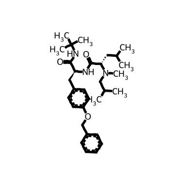 CC(C)C[C@@H](C(=O)N[C@@H](Cc1ccc(OCc2ccccc2)cc1)C(=O)NC(C)(C)C)N(C)CC(C)C